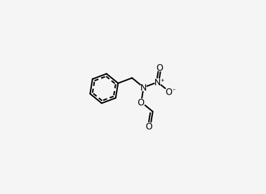 O=CON(Cc1ccccc1)[N+](=O)[O-]